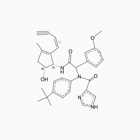 C#C/C=C\C1=C(C)C[C@@H](O)[C@H]1NC(=O)C(c1cccc(OC)c1)N(C(=O)c1c[nH]cn1)c1ccc(C(C)(C)C)cc1